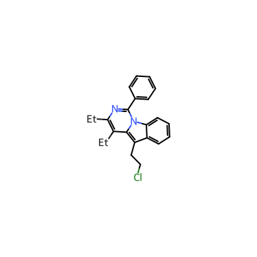 CCc1nc(-c2ccccc2)n2c(c1CC)c(CCCl)c1ccccc12